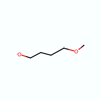 CO[CH]CCC[O]